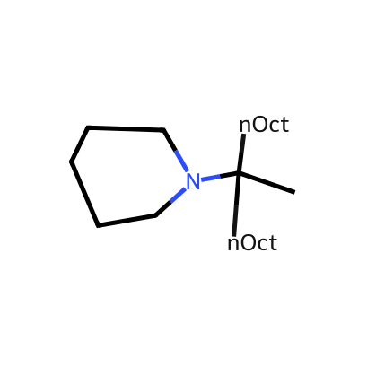 CCCCCCCCC(C)(CCCCCCCC)N1CCCCC1